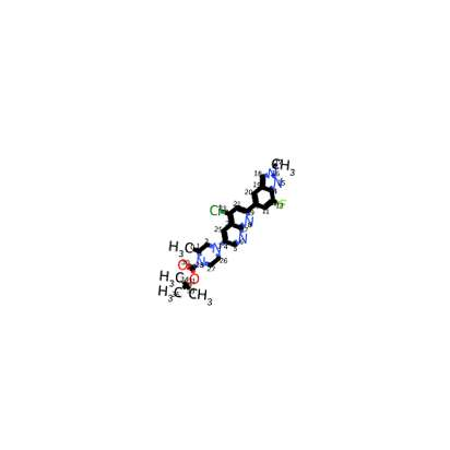 CC1CN(c2cnc3nc(-c4cc(F)c5nn(C)cc5c4)cc(Cl)c3c2)CCN1C(=O)OC(C)(C)C